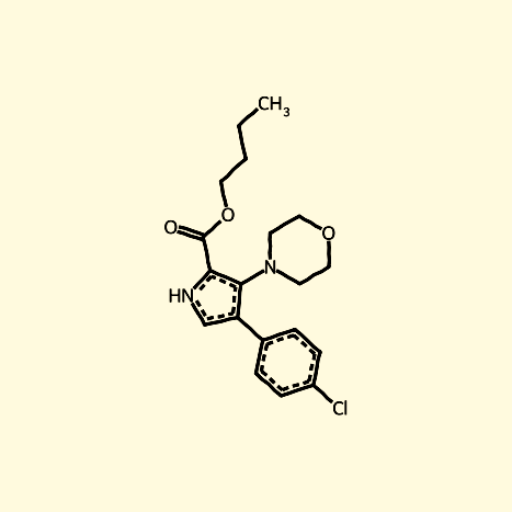 CCCCOC(=O)c1[nH]cc(-c2ccc(Cl)cc2)c1N1CCOCC1